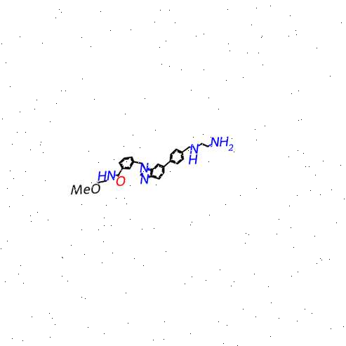 COCCNC(=O)c1cccc(Cn2cnc3ccc(-c4ccc(CNCCN)cc4)cc32)c1